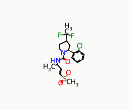 CC(/C=C/S(C)(=O)=O)NC(=O)N1CC[C@@H](C(C)(F)F)C[C@H]1c1ccccc1Cl